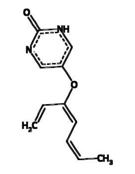 C=C/C(=C\C=C/C)Oc1cnc(=O)[nH]c1